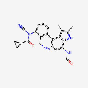 Cc1[nH]c2c(NC=O)ccc(-c3cccc(N(C#N)C(=O)C4CC4)c3CN)c2c1C